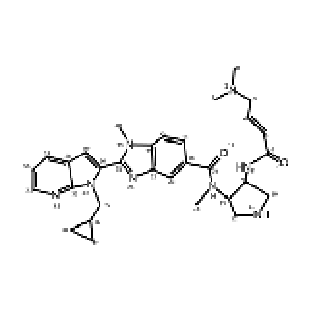 CN(C)C/C=C/C(=O)N[C@H]1CNCC1N(C)C(=O)c1ccc2c(c1)nc(-c1cc3cccnc3n1CC1CC1)n2C